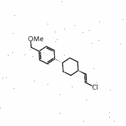 COCc1ccc([C@H]2CC[C@H](/C=C/Cl)CC2)cc1